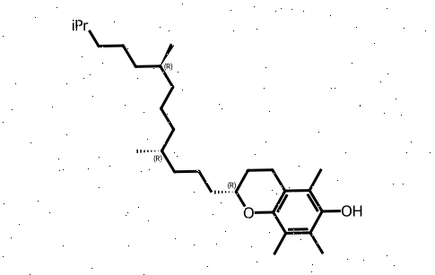 Cc1c(C)c2c(c(C)c1O)CC[C@@H](CCC[C@H](C)CCC[C@H](C)CCCC(C)C)O2